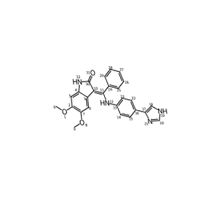 COc1cc2c(cc1OC)C(=C(Nc1ccc(-c3c[nH]cn3)cc1)c1ccccc1)C(=O)N2